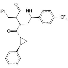 CC(C)C[C@H]1C(=O)N[C@@H](c2ccc(C(F)(F)F)cc2)CN1C(=O)[C@@H]1C[C@H]1c1ccccc1